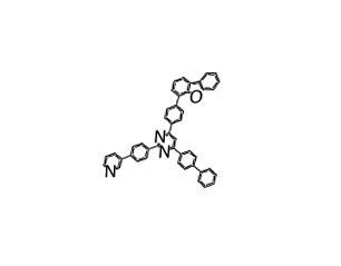 c1ccc(-c2ccc(-c3cc(-c4ccc(-c5cccc6c5oc5ccccc56)cc4)nc(-c4ccc(-c5cccnc5)cc4)n3)cc2)cc1